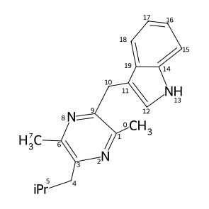 Cc1nc(CC(C)C)c(C)nc1Cc1c[nH]c2ccccc12